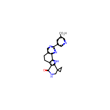 O=C(O)c1cncc(-c2ncc3c(n2)-c2[nH]c4c(c2CC3)C(=O)NCC42CC2)c1